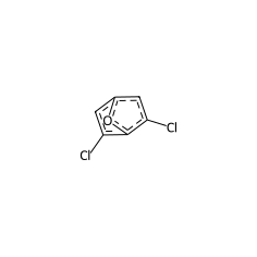 Clc1cc2cc(Cl)c1o2